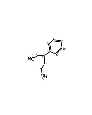 N#CCC(CCO)c1ccccc1